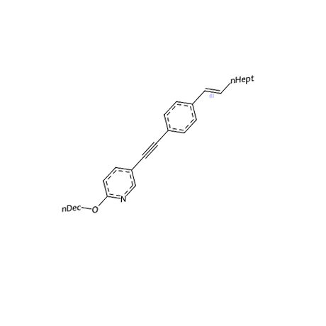 CCCCCCC/C=C/c1ccc(C#Cc2ccc(OCCCCCCCCCC)nc2)cc1